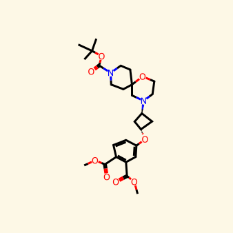 COC(=O)c1ccc(O[C@H]2C[C@H](N3CCOC4(CCN(C(=O)OC(C)(C)C)CC4)C3)C2)cc1C(=O)OC